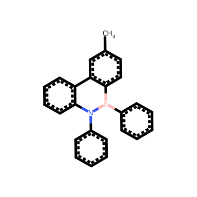 Cc1ccc2c(c1)-c1ccccc1N(c1ccccc1)B2c1ccccc1